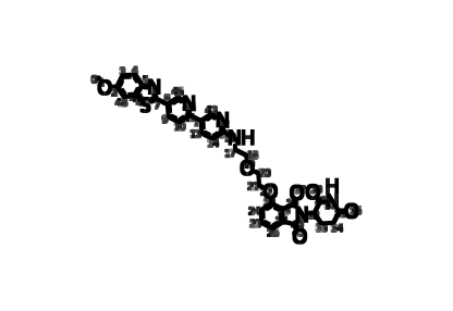 COc1ccc2nc(-c3ccc(-c4ccc(NCCOCCOc5cccc6c5C(=O)N(C5CCC(=O)NC5=O)C6=O)nc4)nc3)sc2c1